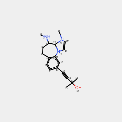 CNC1CCc2ccc(C#CC(C)(C)O)cc2N2C=CN(C)C12